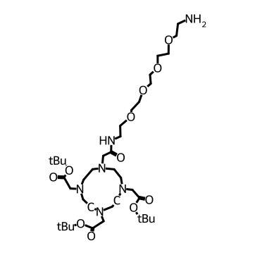 CC(C)(C)OC(=O)CN1CCN(CC(=O)NCCOCCOCCOCCOCCN)CCN(CC(=O)OC(C)(C)C)CCN(CC(=O)OC(C)(C)C)CC1